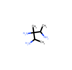 CC(N)C(C)(N)C(C)N